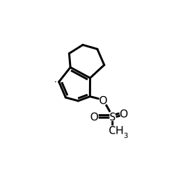 CS(=O)(=O)Oc1cc[c]c2c1CCCC2